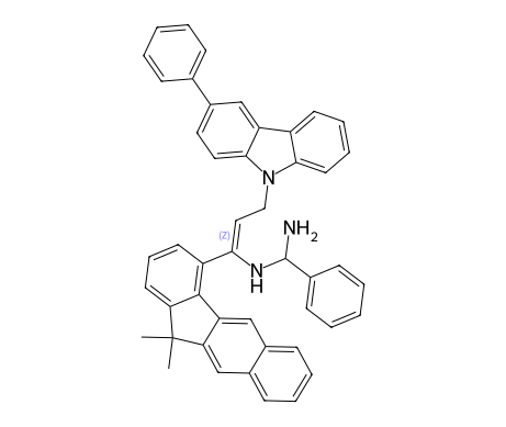 CC1(C)c2cc3ccccc3cc2-c2c(/C(=C/Cn3c4ccccc4c4cc(-c5ccccc5)ccc43)NC(N)c3ccccc3)cccc21